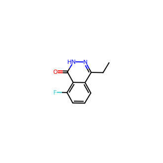 CCc1n[nH]c(=O)c2c(F)cccc12